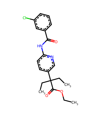 CCOC(=O)C(CC)(CC)c1ccc(NC(=O)c2cccc(Cl)c2)nc1